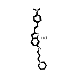 CN(C)c1ccc(C=Cc2cc3ccc(OCCCN4CCCCC4)cc3o2)cc1.Cl